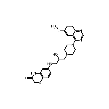 COc1ccc2ncnc(N3CCN(CC(O)CNc4ccc5c(c4)NC(=O)CS5)CC3)c2c1